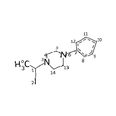 CC(I)N1CCN(c2ccccc2)CC1